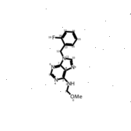 COCNc1ncnc2c1ncn2Cc1ccccc1F